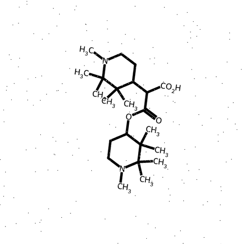 CN1CCC(OC(=O)C(C(=O)O)C2CCN(C)C(C)(C)C2(C)C)C(C)(C)C1(C)C